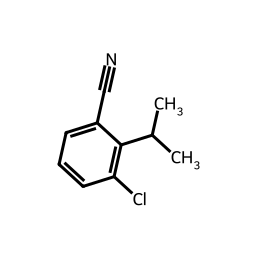 CC(C)c1c(Cl)cccc1C#N